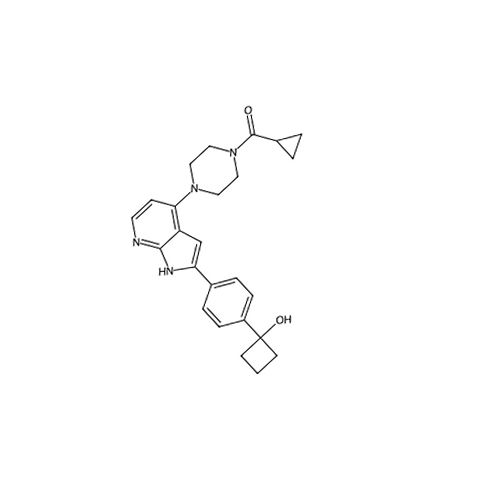 O=C(C1CC1)N1CCN(c2ccnc3[nH]c(-c4ccc(C5(O)CCC5)cc4)cc23)CC1